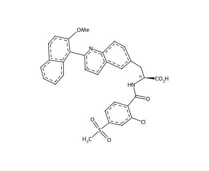 COc1ccc2ccccc2c1-c1ccc2cc(C[C@H](NC(=O)c3ccc(S(C)(=O)=O)cc3Cl)C(=O)O)ccc2n1